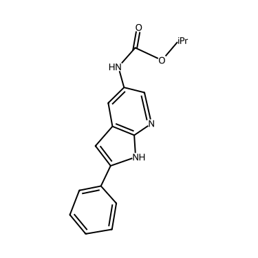 CC(C)OC(=O)Nc1cnc2[nH]c(-c3ccccc3)cc2c1